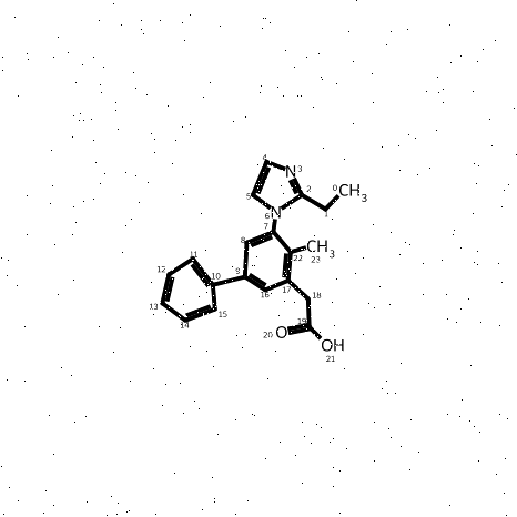 CCc1nccn1-c1cc(-c2ccccc2)cc(CC(=O)O)c1C